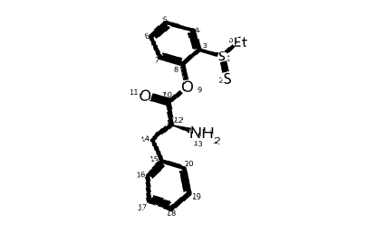 CCS(=S)c1ccccc1OC(=O)[C@@H](N)Cc1ccccc1